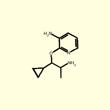 CC(N)C(Oc1ncccc1N)C1CC1